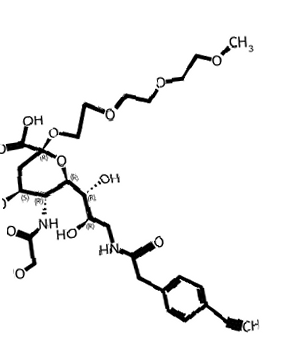 C#Cc1ccc(CC(=O)NC[C@@H](O)[C@@H](O)[C@@H]2O[C@@](OCCOCCOCCOC)(C(=O)O)C[C@H](O)[C@H]2NC(=O)CO)cc1